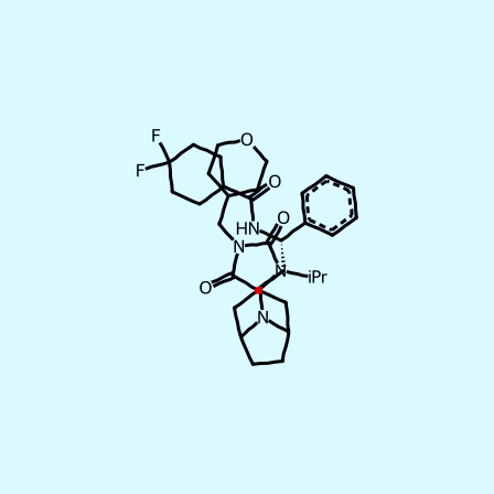 CC(C)N1C(=O)N(CC2CCOCC2)C(=O)C12CC1CCC(C2)N1CC[C@H](NC(=O)C1CCC(F)(F)CC1)c1ccccc1